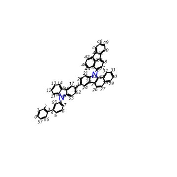 c1ccc(-c2cccc(-n3c4ccccc4c4cc(-c5ccc6c(c5)c5ccc7ccccc7c5n6-c5ccc6c7c(cccc57)-c5ccccc5-6)ccc43)c2)cc1